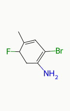 CC1=CC(Br)=C(N)CC1F